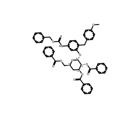 COc1ccc(Cc2ccc(NC(=O)OCc3ccccc3)cc2O[C@H]2O[C@H](COC(=O)c3ccccc3)C[C@H](OC(=O)c3ccccc3)[C@H]2OC(=O)c2ccccc2)cc1